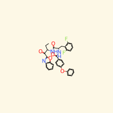 CCC(NC(=O)C(Cc1c(F)cccc1F)NC(=O)c1ccc(Oc2ccccc2)cc1)C(=O)c1nc2ccccc2o1